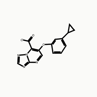 O=C(Cl)c1c(Oc2cccc(C3CC3)c2)cnc2ncnn12